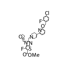 COC(=O)c1sc2nc(CN3CC=C(c4cccc(OCc5ccc(Cl)cc5F)n4)CC3)n(C[C@@H]3CCO3)c2c1F